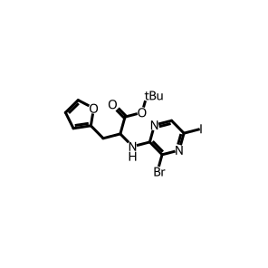 CC(C)(C)OC(=O)C(Cc1ccco1)Nc1ncc(I)nc1Br